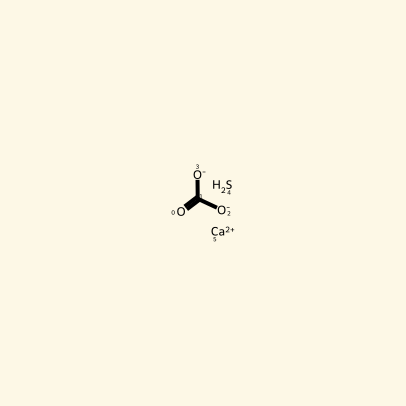 O=C([O-])[O-].S.[Ca+2]